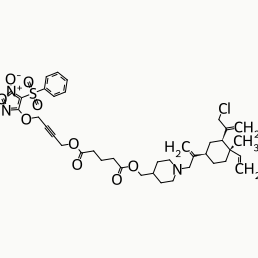 C=C[C@]1(C)CC[C@@H](C(=C)CN2CCC(COC(=O)CCCC(=O)OCC#CCOc3no[n+]([O-])c3S(=O)(=O)c3ccccc3)CC2)C[C@H]1C(=C)CCl